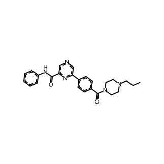 CCCN1CCN(C(=O)c2ccc(-c3cncc(C(=O)Nc4ccccc4)n3)cc2)CC1